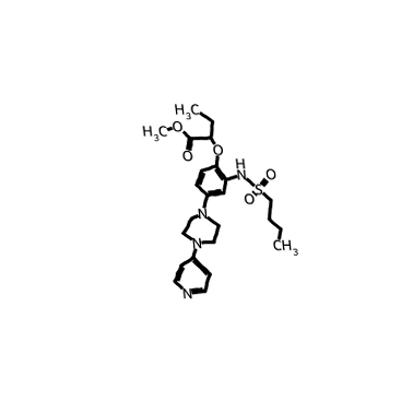 CCCCS(=O)(=O)Nc1cc(N2CCN(c3ccncc3)CC2)ccc1OC(CC)C(=O)OC